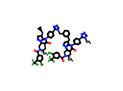 C[C@@H]1Cc2c(n3ncc(Cc4cccc(Cn5cnnc5-c5ccc(-n6c(=O)c7c(n8ncc(CC9CC9)c68)CN(C(=O)c6ccc(Br)c(C(F)(F)F)c6)[C@H](C)C7)cc5)c4)c3n(-c3ccc(-c4nncn4C)cc3)c2=O)CN1C(=O)c1ccc(Br)c(C(F)(F)F)c1